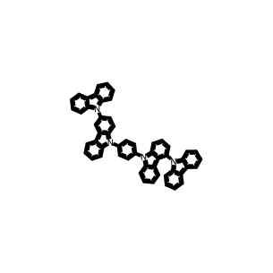 c1ccc2c(c1)c1ccccc1n2-c1ccc2c(c1)c1ccccc1n2-c1ccc(-n2c3ccccc3c3c(-n4c5ccccc5c5ccccc54)cccc32)cc1